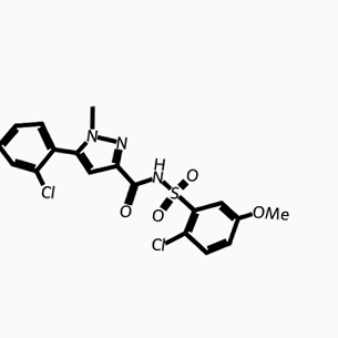 COc1ccc(Cl)c(S(=O)(=O)NC(=O)c2cc(-c3ccccc3Cl)n(C)n2)c1